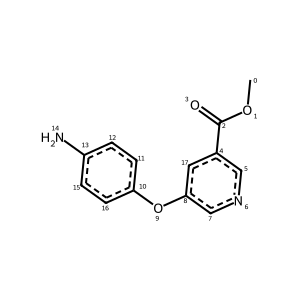 COC(=O)c1cncc(Oc2ccc(N)cc2)c1